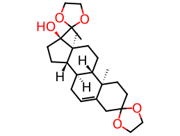 CC1([C@@]2(O)CC[C@H]3[C@@H]4CC=C5CC6(CC[C@]5(C)[C@H]4CC[C@@]32C)OCCO6)OCCO1